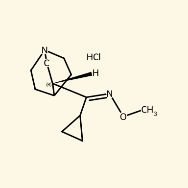 CON=C(C1CC1)[C@H]1CN2CCC1CC2.Cl